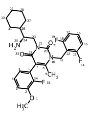 COc1cccc(-c2c(C)n(Cc3c(F)cccc3F)c(=O)n(C[C@@H](N)C3CCCCC3)c2=O)c1F